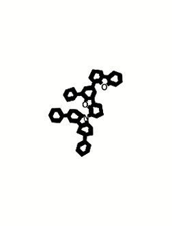 c1ccc(-c2ccc3c(c2)c2cc(-c4ccccc4)ccc2n3-c2cccc3c2oc2c(-c4ccccc4)cc(-c4cccc5c4oc4ccccc45)cc23)cc1